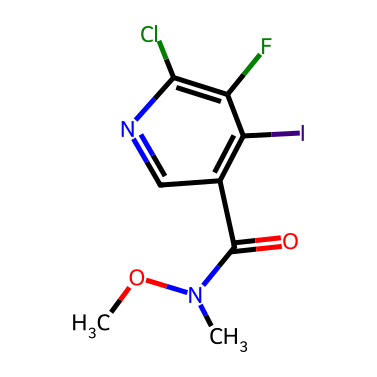 CON(C)C(=O)c1cnc(Cl)c(F)c1I